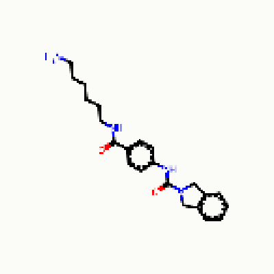 NCCCCCCNC(=O)c1ccc(NC(=O)N2Cc3ccccc3C2)cc1